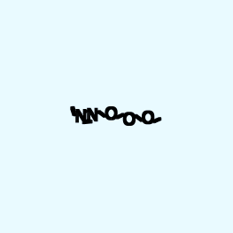 C=CN1C=CN(CCOCCOCCOCC)C1